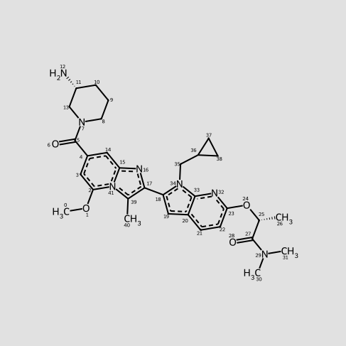 COc1cc(C(=O)N2CCC[C@@H](N)C2)cc2nc(-c3cc4ccc(O[C@H](C)C(=O)N(C)C)nc4n3CC3CC3)c(C)n12